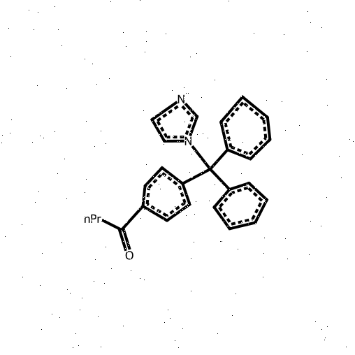 CCCC(=O)c1ccc(C(c2ccccc2)(c2ccccc2)n2ccnc2)cc1